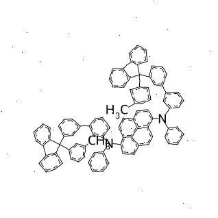 Cc1cccc(C2(c3cccc(-c4cccc(N(c5ccccc5)c5ccc6ccc7c(N(c8ccccc8)c8cccc(-c9cccc(C%10(c%11cccc(C)c%11)c%11ccccc%11-c%11ccccc%11%10)c9)c8)ccc8ccc5c6c87)c4)c3)c3ccccc3-c3ccccc32)c1